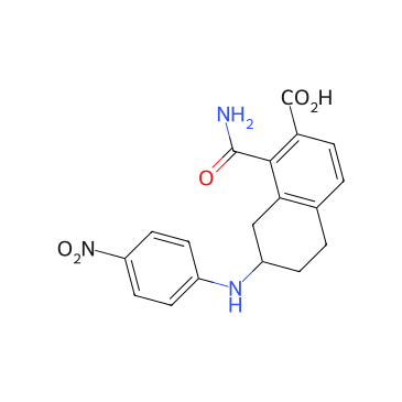 NC(=O)c1c(C(=O)O)ccc2c1CC(Nc1ccc([N+](=O)[O-])cc1)CC2